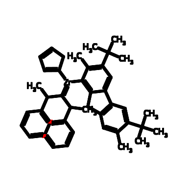 Cc1cc2c(cc1C(C)(C)C)-c1cc(C(C)(C)C)c(C)[c]([Zr]([C]3=CC=CC3)=[C](C(C)c3ccccc3)C(C)c3ccccc3)c1C2